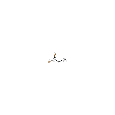 C[CH2][GeH]([Br])[Br]